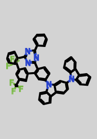 FC(F)(F)c1cc(-c2cc(-n3c4ccccc4c4ccc(-n5c6ccccc6c6ccccc65)cc43)ccc2-c2nc(-c3ccccc3)nc(-c3ccccc3)n2)cc(C(F)(F)F)c1